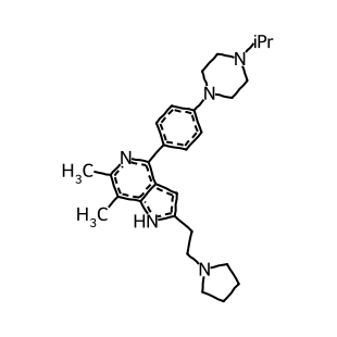 Cc1nc(-c2ccc(N3CCN(C(C)C)CC3)cc2)c2cc(CCN3CCCC3)[nH]c2c1C